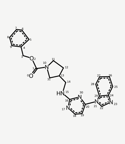 O=C(OCc1ccccc1)N1CCC(CNc2nccc(-n3cnc4ccccc43)n2)C1